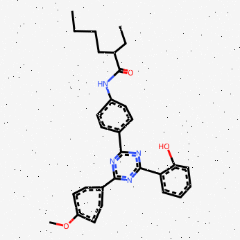 CCCCC(CC)C(=O)Nc1ccc(-c2nc(-c3ccc(OC)cc3)nc(-c3ccccc3O)n2)cc1